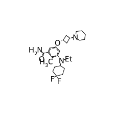 CCN(c1cc(O[C@H]2C[C@H](N3CCCCC3)C2)cc(C(N)=O)c1C)C1CCC(F)(F)CC1